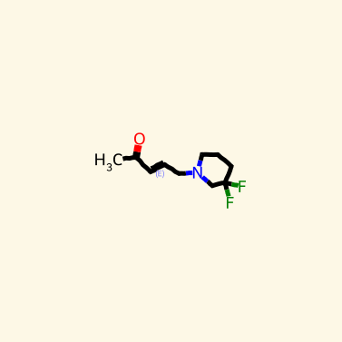 CC(=O)/C=C/CN1CCCC(F)(F)C1